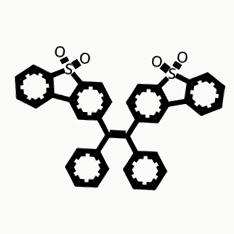 O=S1(=O)c2ccccc2-c2cc(C(=C(c3ccccc3)c3ccc4c(c3)-c3ccccc3S4(=O)=O)c3ccccc3)ccc21